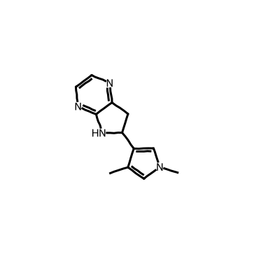 Cc1cn(C)cc1C1Cc2nccnc2N1